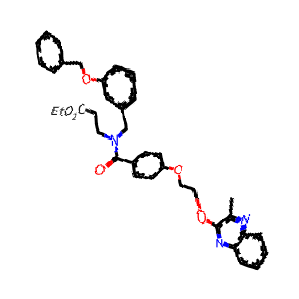 CCOC(=O)CCN(Cc1cccc(OCc2ccccc2)c1)C(=O)c1ccc(OCCOc2nc3ccccc3nc2C)cc1